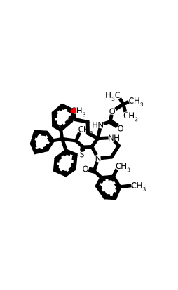 CCCCC1(NC(=O)OC(C)(C)C)NCCN(C(=O)c2cccc(C)c2C)C1C(=S)C(C)C(c1ccccc1)(c1ccccc1)c1ccccc1